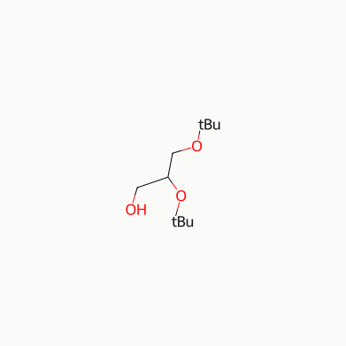 CC(C)(C)OCC(CO)OC(C)(C)C